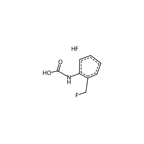 F.O=C(O)Nc1ccccc1CF